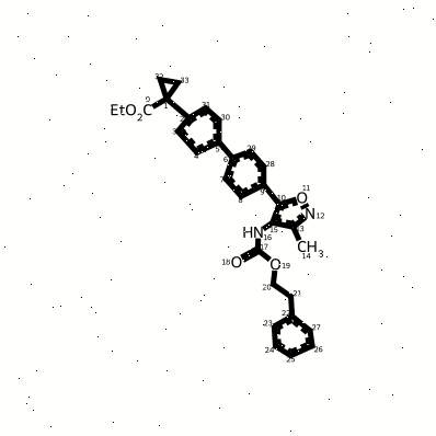 CCOC(=O)C1(c2ccc(-c3ccc(-c4onc(C)c4NC(=O)OCCc4ccccc4)cc3)cc2)CC1